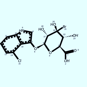 O=C(O)[C@H]1O[C@@H](Oc2c[nH]c3cccc(Cl)c23)[C@H](O)[C@](O)(Br)[C@@H]1O